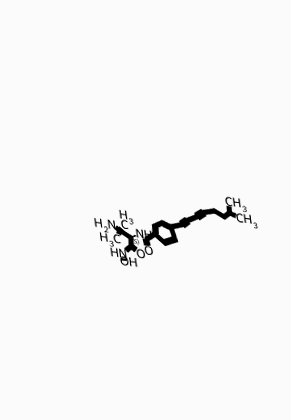 CC(C)CCC#CC#Cc1ccc(C(=O)N[C@H](C(=O)NO)C(C)(C)N)cc1